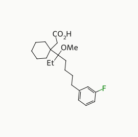 CCC(CCCCc1cccc(F)c1)(OC)C1(CC(=O)O)CCCCC1